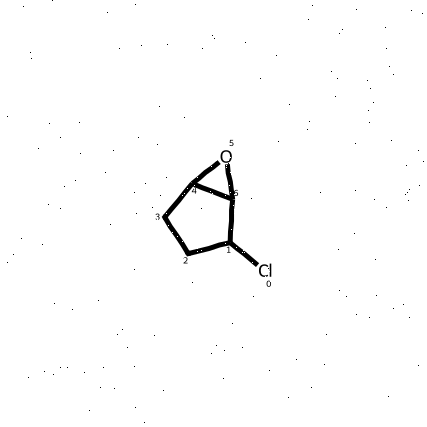 ClC1CCC2OC12